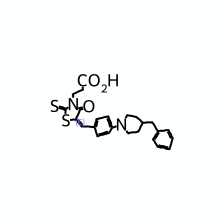 O=C(O)CCN1C(=O)/C(=C\c2ccc(N3CCC(Cc4ccccc4)CC3)cc2)SC1=S